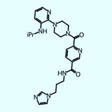 CC(C)Nc1cccnc1N1CCN(C(=O)c2ccc(C(=O)NCCCn3ccnc3)cn2)CC1